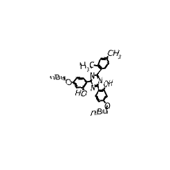 CCCCOc1ccc(-c2nc(-c3ccc(C)cc3C)nc(-c3ccc(OCCCC)cc3O)n2)c(O)c1